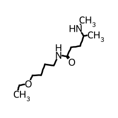 CCOCCCCNC(=O)CCC(C)NC